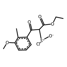 CCOC(=O)C(C(=O)c1cccc(OC)c1C)[S+]([O-])Cl